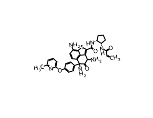 C=CC(=O)N[C@H]1CCC[C@H]1NC(=O)c1sc2c(N)ccc3c2c1C(N)C(=O)C3(N)c1ccc(Oc2cccc(C)n2)cc1